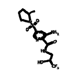 C[C@@H]1CCCN1S(=O)(=O)c1cnc(C(=O)NCC(O)C(F)(F)F)c(N)c1